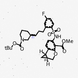 COC(=O)c1c(NS(=O)(=O)c2ccc(F)cc2CC/C=C2\CCCN(C(=O)OC(C)(C)C)C2)ccc2c1OC[C@@H]1C[C@H]21